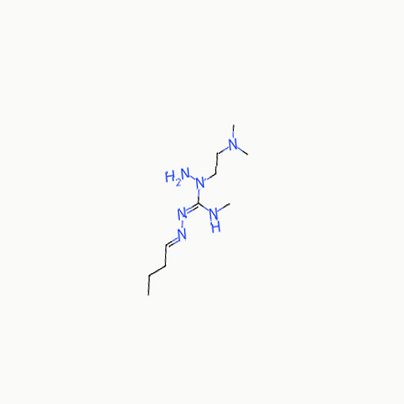 CCC/C=N/N=C(\NC)N(N)CCN(C)C